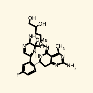 COC1(C)N=C(c2cc(F)ccc2[C@H]2Cc3nc(N)nc(C)c3/C(=N/OCC[C@H](O)CO)N2)C=NC1N